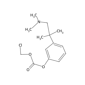 CN(C)CC(C)(C)c1cccc(OC(=O)OCCl)c1